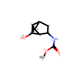 CC(C)(C)OC(=O)NC1CC2C=C(O)C1C2